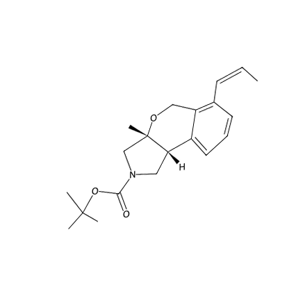 C/C=C\c1cccc2c1CO[C@@]1(C)CN(C(=O)OC(C)(C)C)C[C@@H]21